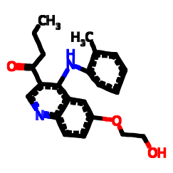 CCCC(=O)c1cnc2ccc(OCCO)cc2c1Nc1ccccc1C